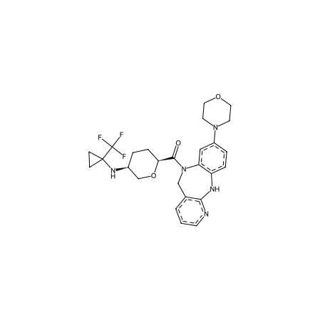 O=C([C@@H]1CC[C@H](NC2(C(F)(F)F)CC2)CO1)N1Cc2cccnc2Nc2ccc(N3CCOCC3)cc21